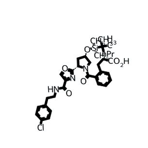 CCCC(C)(C)[Si](C)(C)O[C@H]1C[C@@H](c2nc(C(=O)NCCc3ccc(Cl)cc3)co2)N(C(=O)c2ccccc2CCC(=O)O)C1